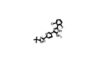 CC(C)(C)c1noc(-c2ccc(-c3nc(-c4c(F)cccc4Cl)[nH]c3N)cn2)n1